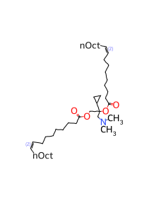 CCCCCCCC/C=C\CCCCCCCC(=O)OCC(CN(C)C)(OC(=O)CCCCCCC/C=C\CCCCCCCC)C1CC1